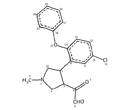 CN1CC(C(=O)C=O)C(c2cc(Cl)ccc2Oc2ccccc2)C1